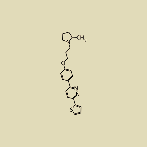 CC1CCCN1CCCOc1ccc(-c2ccc(-c3cccs3)nn2)cc1